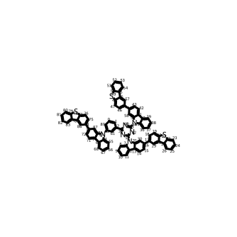 c1cc(-c2nc(-n3c4ccccc4c4ccc(-c5ccc6sc7ccccc7c6c5)cc43)nc(-n3c4ccccc4c4ccc(-c5ccc6sc7ccccc7c6c5)cc43)n2)cc(-n2c3ccccc3c3ccc(-c4ccc5sc6ccccc6c5c4)cc32)c1